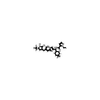 CCn1nccc1C(=O)NC(c1cn2ncc(CC3C[C@@H](C(F)(F)F)NC3=O)cc2n1)C1CCC(F)(F)CC1